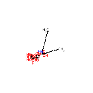 CCCCCCCCCCCCCCCCCC(=O)N[C@@H](CO[C@@H]1O[C@H](CO)[C@@H](O[C@@H]2O[C@H](CO)[C@H](O)C(O)C2O)C(O)C1O)[C@H](O)CCCCCCCCCCCCC